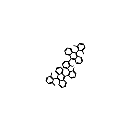 Cc1cccc(C)c1-c1c2ccccc2c(-c2cccc3c2sc2cccc(-c4c5ccccc5c(-c5c(C)cccc5C)c5ccccc45)c23)c2ccccc12